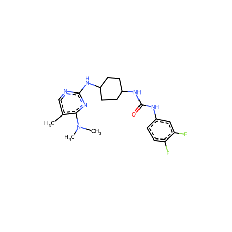 Cc1cnc(NC2CCC(NC(=O)Nc3ccc(F)c(F)c3)CC2)nc1N(C)C